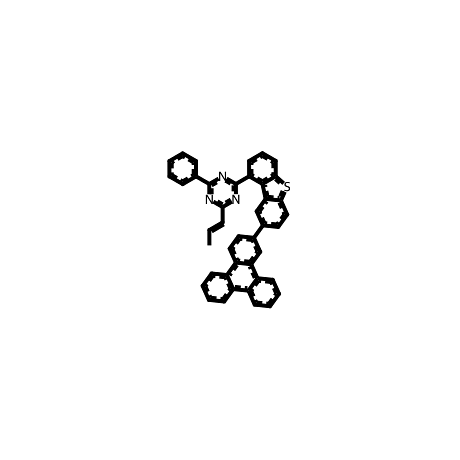 C/C=C/c1nc(-c2ccccc2)nc(-c2cccc3sc4ccc(-c5ccc6c7ccccc7c7ccccc7c6c5)cc4c23)n1